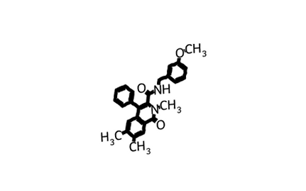 COc1cccc(CNC(=O)c2c(-c3ccccc3)c3cc(C)c(C)cc3c(=O)n2C)c1